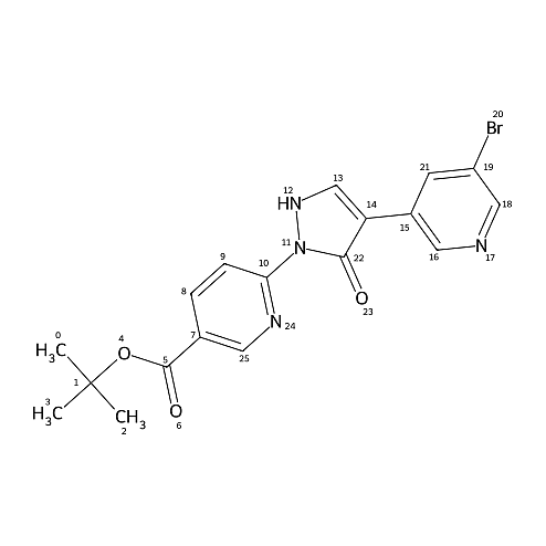 CC(C)(C)OC(=O)c1ccc(-n2[nH]cc(-c3cncc(Br)c3)c2=O)nc1